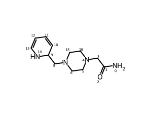 NC(=O)CN1CCN(CC2C=CC=CN2)CC1